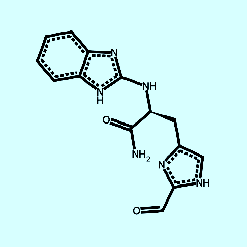 NC(=O)[C@H](Cc1c[nH]c(C=O)n1)Nc1nc2ccccc2[nH]1